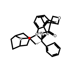 CCC1(C(=O)N[C@@H](CCN2C3CCC2CC(n2cnc4c(F)cccc42)C3)c2ccccc2)COC1